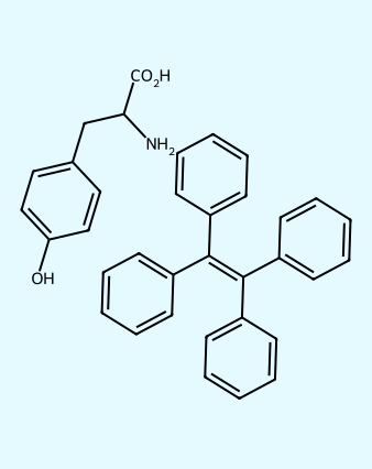 NC(Cc1ccc(O)cc1)C(=O)O.c1ccc(C(=C(c2ccccc2)c2ccccc2)c2ccccc2)cc1